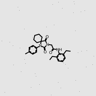 CCc1cccc(CC)c1NC(=O)CN1C(=O)N(c2ccc(C)cc2)C2(CCCCC2)C1=O